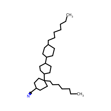 CCCCCCCC1CCC(C2CCC(C3(CCCCCCC)CCC(C#N)CC3)CC2)CC1